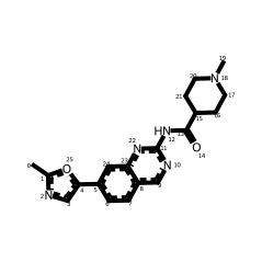 Cc1ncc(-c2ccc3cnc(NC(=O)C4CCN(C)CC4)nc3c2)o1